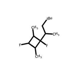 CC(CC(C)(C)C)C1(F)C(C)C(F)C1C